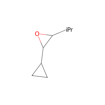 CC(C)C1OC1C1CC1